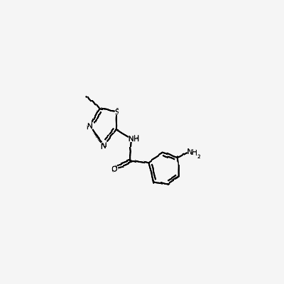 Cc1nnc(NC(=O)c2cccc(N)c2)s1